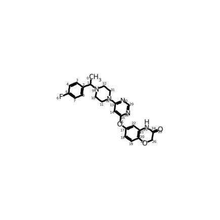 CC(c1ccc(F)cc1)N1CCN(c2cc(Oc3ccc4c(c3)NC(=O)CO4)ncn2)CC1